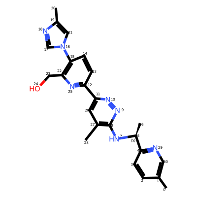 Cc1ccc([C@H](C)Nc2nnc(-c3ccc(-n4cnc(C)c4)c(CO)n3)cc2C)nc1